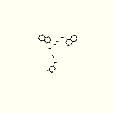 CCC[n+]1cc(Br)cc(C(=O)NCCOC(=O)N(CCOC(=O)Nc2cccc3ccccc23)c2ccc3ccccc3c2)c1.[I-]